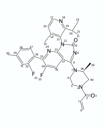 C=CC(=O)N1CCN(c2nc(=O)n(-c3c(C)ccnc3C(C)C)c3nc(-c4ccc(C)cc4F)c(F)cc23)[C@@H](C)C1